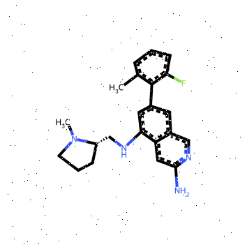 Cc1cccc(F)c1-c1cc(NC[C@@H]2CCCN2C)c2cc(N)ncc2c1